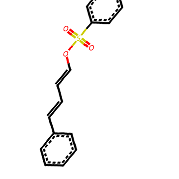 O=S(=O)(OC=CC=Cc1ccccc1)c1ccccc1